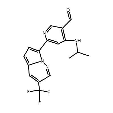 CC(C)Nc1cc(-c2ccc3cc(C(F)(F)F)cnn23)ncc1C=O